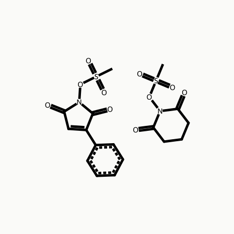 CS(=O)(=O)ON1C(=O)C=C(c2ccccc2)C1=O.CS(=O)(=O)ON1C(=O)CCCC1=O